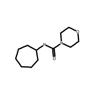 O=C([N]C1CCCCCC1)N1CCOCC1